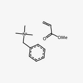 C=CC(=O)OC.C[N+](C)(C)Cc1ccccc1